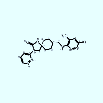 Cc1cc(Cl)nnc1NC[C@H]1CC[C@]2(CC1)CN(c1cccnn1)C(=O)O2